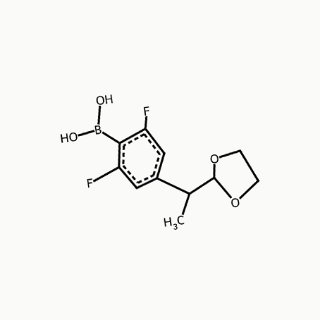 CC(c1cc(F)c(B(O)O)c(F)c1)C1OCCO1